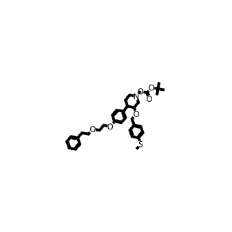 CSc1ccc(COC2CN(OC(=O)OC(C)(C)C)CCC2c2ccc(OCCOCCc3ccccc3)cc2)cc1